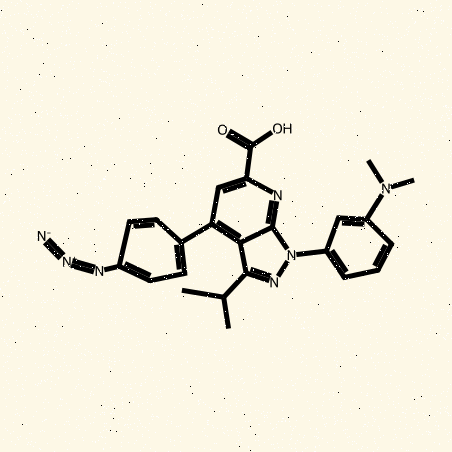 CC(C)c1nn(-c2cccc(N(C)C)c2)c2nc(C(=O)O)cc(-c3ccc(N=[N+]=[N-])cc3)c12